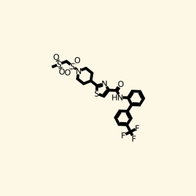 CS(=O)(=O)CS(=O)(=O)N1CCC(c2nc(C(=O)Nc3ccccc3-c3cccc(C(F)(F)F)c3)cs2)CC1